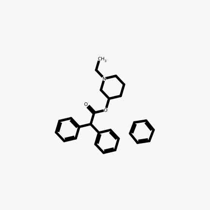 CCN1CCCC(OC(=O)C(c2ccccc2)c2ccccc2)C1.c1ccccc1